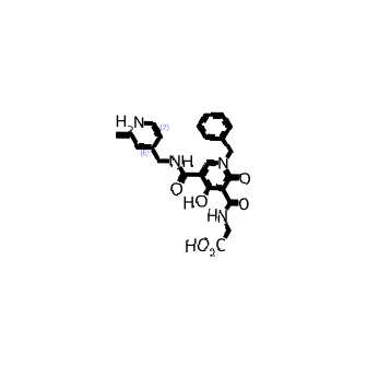 C=C/C=C(\C=C/N)CNC(=O)c1cn(Cc2ccccc2)c(=O)c(C(=O)NCC(=O)O)c1O